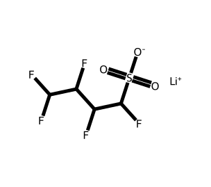 O=S(=O)([O-])C(F)C(F)C(F)C(F)F.[Li+]